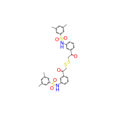 Cc1cc(C)cc(S(=O)(=O)Nc2cccc(C(=O)CSSCC(=O)c3cccc(NS(=O)(=O)c4cc(C)cc(C)c4)c3)c2)c1